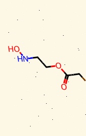 O=C(CS)OCCNO